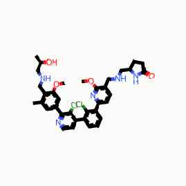 COc1cc(-c2nccc(-c3cccc(-c4ccc(CNCC5CCC(=O)N5)c(OC)n4)c3Cl)c2Cl)cc(C)c1CNCC(C)O